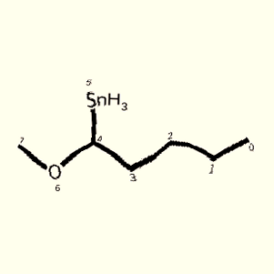 CCCC[CH]([SnH3])OC